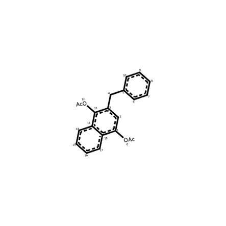 CC(=O)Oc1cc(Cc2ccccc2)c(OC(C)=O)c2ccccc12